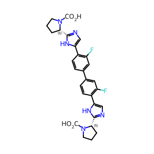 O=C(O)N1CCC[C@H]1c1ncc(-c2ccc(-c3ccc(-c4cnc([C@@H]5CCCN5C(=O)O)[nH]4)c(F)c3)cc2F)[nH]1